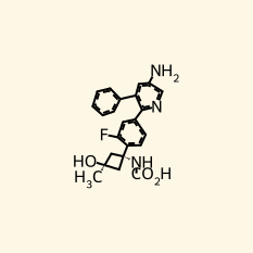 C[C@]1(O)C[C@@](NC(=O)O)(c2ccc(-c3ncc(N)cc3-c3ccccc3)cc2F)C1